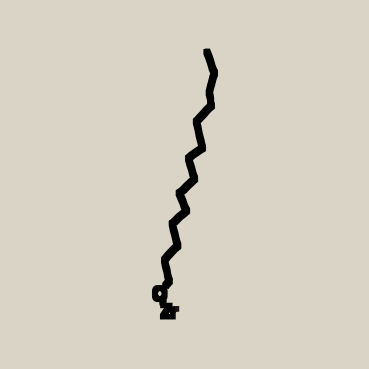 CCCCCCCCCCCCCC[O][Zr]